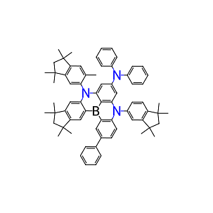 Cc1cc2c(cc1N1c3cc4c(cc3B3c5cc(-c6ccccc6)ccc5N(c5ccc6c(c5)C(C)(C)CC6(C)C)c5cc(N(c6ccccc6)c6ccccc6)cc1c53)C(C)(C)CC4(C)C)C(C)(C)CC2(C)C